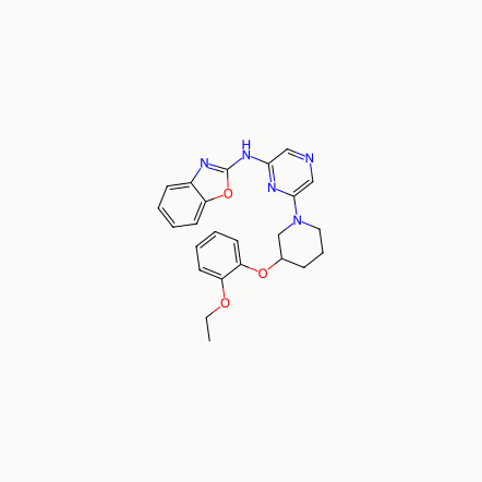 CCOc1ccccc1OC1CCCN(c2cncc(Nc3nc4ccccc4o3)n2)C1